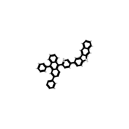 c1ccc(-c2ccc3c(-c4ccc(-c5ccc6oc7cc8ccccc8cc7c6c5)cn4)c4ccccc4c(-c4ccccc4)c3c2)cc1